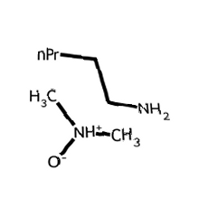 CCCCCN.C[NH+](C)[O-]